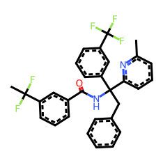 Cc1cccc(C(Cc2ccccc2)(NC(=O)c2cccc(C(C)(F)F)c2)c2cccc(C(F)(F)F)c2)n1